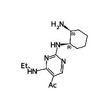 CCNc1nc(N[C@@H]2CCCC[C@@H]2N)ncc1C(C)=O